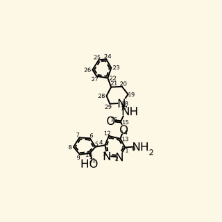 Nc1nnc(-c2ccccc2O)cc1OC(=O)NN1CCC(c2ccccc2)CC1